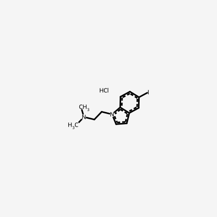 CN(C)CCn1ccc2cc(I)ccc21.Cl